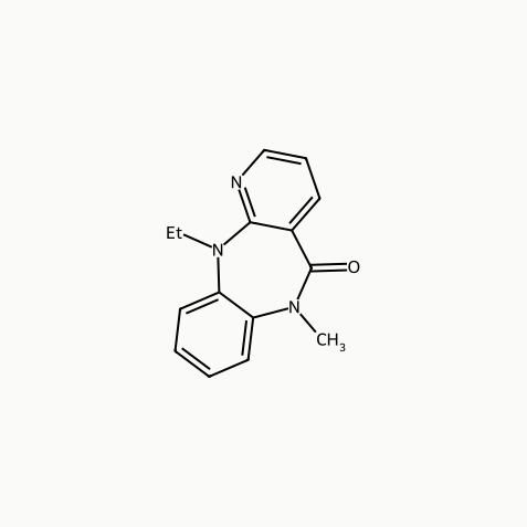 CCN1c2ccccc2N(C)C(=O)c2cccnc21